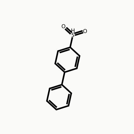 O=[SH](=O)c1ccc(-c2ccccc2)cc1